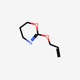 C=CCOC1=NCCCO1